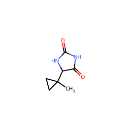 CC1(C2NC(=O)NC2=O)CC1